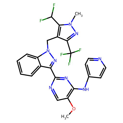 COc1cnc(-c2nn(Cc3c(C(F)(F)F)nn(C)c3C(F)F)c3ccccc23)nc1Nc1ccncc1